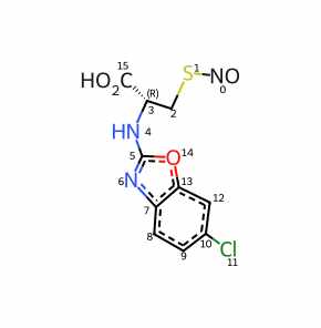 O=NSC[C@H](Nc1nc2ccc(Cl)cc2o1)C(=O)O